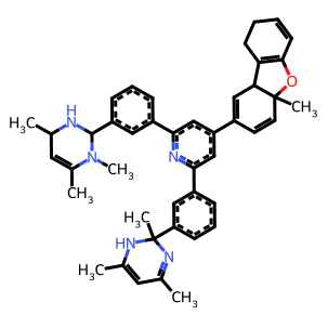 CC1=CC(C)=NC(C)(c2cccc(-c3cc(C4=CC5C6=C(C=CCC6)OC5(C)C=C4)cc(-c4cccc(C5NC(C)C=C(C)N5C)c4)n3)c2)N1